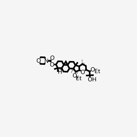 CCOC(C1C[C@@H](C)C2C(O1)[C@H](OCC)[C@@]1(C)C3CC[C@H]4C(C)(C)C(OC(=O)N5CCOCC5)CCC45CC35CCC21C)C(C)(C)O